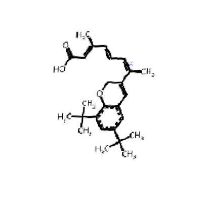 CC(C=C/C=C(/C)C1=Cc2cc(C(C)(C)C)cc(C(C)(C)C)c2OC1)=CC(=O)O